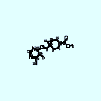 COC(=O)N1CCC2(COc3ncnc(I)c3C)CC2C1